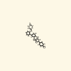 CN1CCN(Cc2ccccc2-c2ccc(CN3CC(c4ccc(Cl)cc4)OC3=O)cc2)CC1